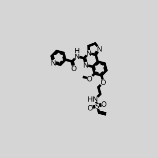 C=CS(=O)(=O)NCCOc1ccc2c(c1OC)N=C(NC(=O)c1cccnc1)N1CCN=C21